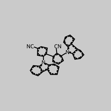 N#Cc1ccc(-c2cccc(-n3c4ccccc4c4ccccc43)c2C#N)c(-n2c3ccccc3c3ccccc32)c1